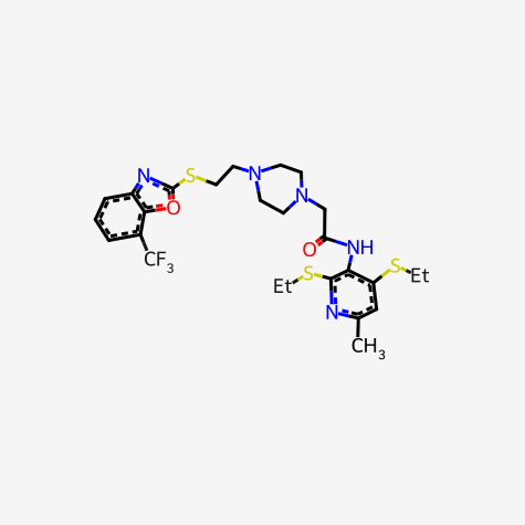 CCSc1cc(C)nc(SCC)c1NC(=O)CN1CCN(CCSc2nc3cccc(C(F)(F)F)c3o2)CC1